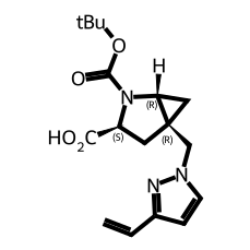 C=Cc1ccn(C[C@@]23C[C@@H](C(=O)O)N(C(=O)OC(C)(C)C)[C@@H]2C3)n1